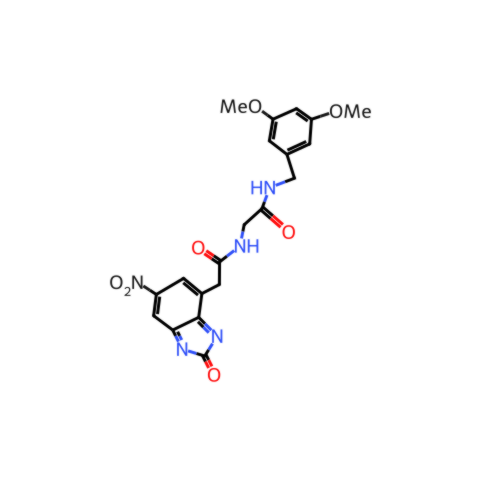 COc1cc(CNC(=O)CNC(=O)Cc2cc([N+](=O)[O-])cc3c2=NC(=O)N=3)cc(OC)c1